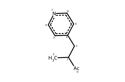 CC(=O)C(C)Cc1ccncc1